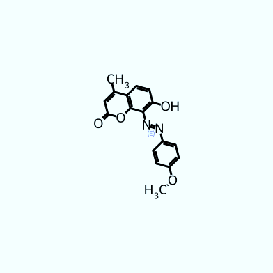 COc1ccc(/N=N/c2c(O)ccc3c(C)cc(=O)oc23)cc1